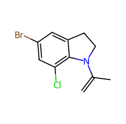 C=C(C)N1CCc2cc(Br)cc(Cl)c21